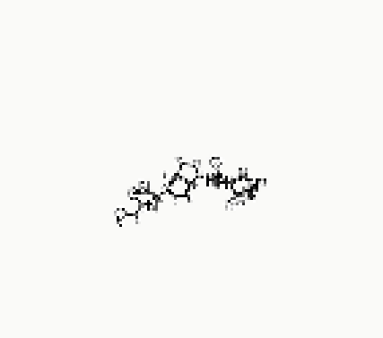 COCc1nc(-c2ccc3c(c2)CCC3NC(=O)c2cn(C)nc2C)no1